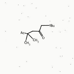 CC(=O)C(C)(C)CC(=O)CC(C)(C)C